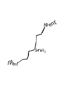 CCCCCC[CH2][SnH2][CH2]CCCCCC